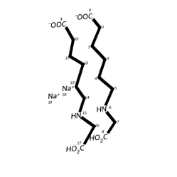 O=C([O-])CCCCCNCC(=O)O.O=C([O-])CCCCCNCC(=O)O.[Na+].[Na+]